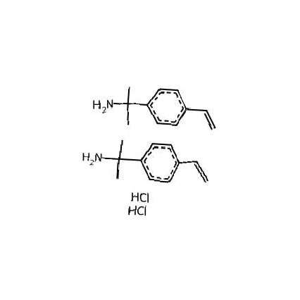 C=Cc1ccc(C(C)(C)N)cc1.C=Cc1ccc(C(C)(C)N)cc1.Cl.Cl